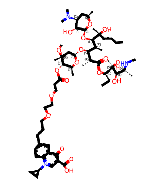 CCCC[C@@](C)(O)[C@H](O[C@@H]1O[C@H](C)C[C@H](N(C)C)[C@H]1O)[C@@H](C)[C@H](O[C@H]1C[C@@](C)(OC)[C@@H](OC(=O)CCOCCOCCCc2ccc3c(c2)c(=O)c(C(=O)O)cn3C2CC2)[C@H](C)O1)[C@@H](C)C(=O)O[C@H](CC)[C@@](C)(O)[C@H](O)[C@@H](C)NC